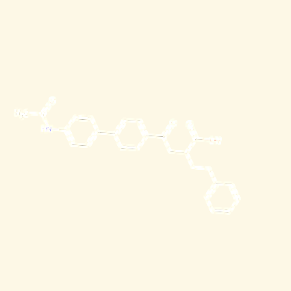 CC(=O)Nc1ccc(-c2ccc(C(=O)CC(CCc3ccccc3)C(=O)O)cc2)cc1